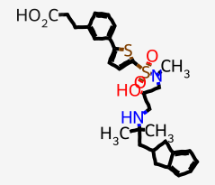 CN(CC(O)CNC(C)(C)CC1Cc2ccccc2C1)S(=O)(=O)c1ccc(-c2cccc(CCC(=O)O)c2)s1